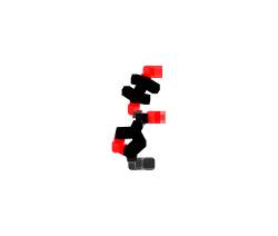 CC(C)(O)C(C)(C)OB(O)c1coc(C=O)c1